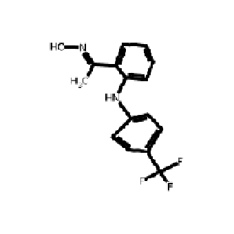 C/C(=N\O)c1ccccc1Nc1ccc(C(F)(F)F)cc1